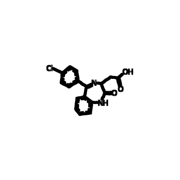 O=C(O)CC1N=C(c2ccc(Cl)cc2)c2ccccc2NC1=O